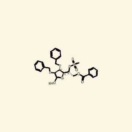 COC1O[C@H]([C@@H](COC(=O)c2ccccc2)OS(C)(=O)=O)[C@@H](OCc2ccccc2)C1OCc1ccccc1